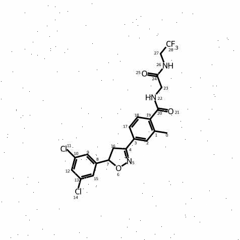 Cc1cc(C2=NOC(c3cc(Cl)cc(Cl)c3)C2)ccc1C(=O)NCC(=O)NCC(F)(F)F